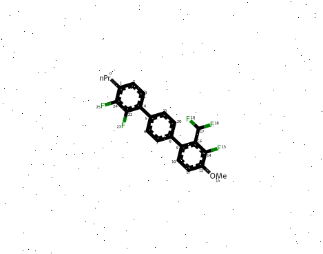 CCCc1ccc(-c2ccc(-c3ccc(OC)c(F)c3C(F)F)cc2)c(F)c1F